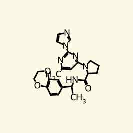 Cc1cc(N2CCCC2C(=O)NC(C)c2ccc3c(c2)OCCO3)nc(-n2ccnc2)n1